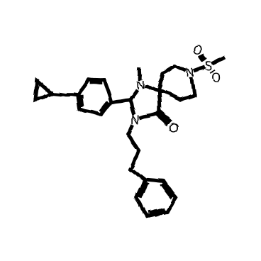 CN1C(c2ccc(C3CC3)cc2)N(CCCc2ccccc2)C(=O)C12CCN(S(C)(=O)=O)CC2